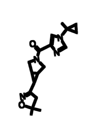 CC1(C)CC(C2C3CN(C(=O)c4cn(C5(C)CC5)cn4)CC32)=NO1